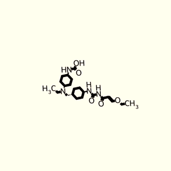 CCO/C=C/C(=O)NC(=O)N[C@H]1CC[C@H](CN(CC)[C@H]2CC[C@H](NC(=O)O)CC2)CC1